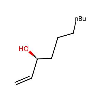 C=C[C@@H](O)CCCCCCC